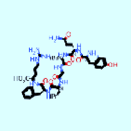 CC[C@H](C)[C@H](NC(=O)[C@H](CCC(N)=O)NC(=O)[C@@H](N)Cc1ccc(O)cc1)C(=O)NCC(=O)N[C@@H](CC(C)C)C(=O)N[C@@H](Cc1ccccc1)C(=O)N[C@@H](CCCNC(=N)N)C(=O)O